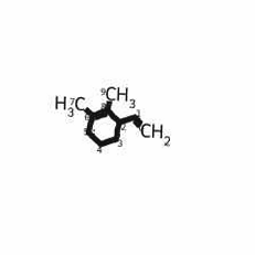 C=CC1CC[C]C(C)=C1C